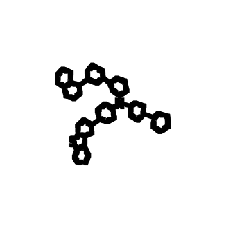 c1ccc(-c2ccc(N(c3ccc(-c4ccc5sc6ccccc6c5c4)cc3)c3cccc(-c4cccc(-c5cccc6ccccc56)c4)c3)cc2)cc1